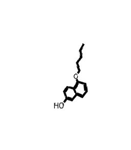 CCCCCOc1cccc2cc(O)ccc12